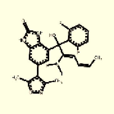 C/C=C\C=C(/N(I)I)C(O)(c1c(F)cccc1F)c1cc(-c2c(C)noc2C)cc2[nH]c(=O)[nH]c12